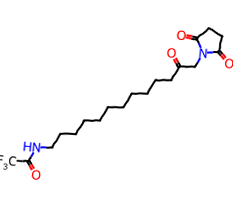 O=C(CCCCCCCCCCCNC(=O)C(F)(F)F)CN1C(=O)CCC1=O